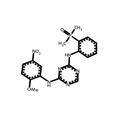 COc1ccc([N+](=O)[O-])cc1Nc1ncnc(Nc2ccccc2P(C)(C)=O)n1